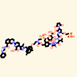 Cc1c(-c2ccc(N3CCc4cccc(C(=O)Nc5nc6ccccc6s5)c4C3)nc2C(=O)O)cnn1CC12CC3(C)CC(C)(C1)CC(OCCN(CCS(=O)(=O)O)C(=O)OCc1ccc(NC(=O)[C@H](C)NC(=O)[C@@H](NC(=O)CN4C(=O)C(N5C(=O)C=CC5=O)C[C@H]4COCCS(=O)(=O)O)C(C)C)cc1CC[C@@H]1O[C@H](C(=O)O)[C@@H](O)[C@H](O)[C@H]1O)(C3)C2